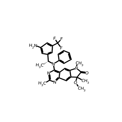 COC1(C)C(=O)N(C)c2cc3c(N(c4ccccc4)[C@H](C)c4cc(N)cc(C(F)(F)F)c4)nc(C)nc3cc21